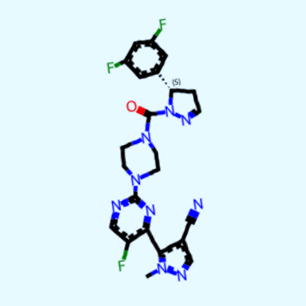 Cn1ncc(C#N)c1-c1nc(N2CCN(C(=O)N3N=CC[C@H]3c3cc(F)cc(F)c3)CC2)ncc1F